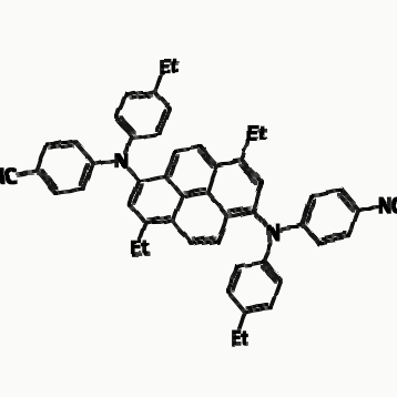 [C-]#[N+]c1ccc(N(c2ccc(CC)cc2)c2cc(CC)c3ccc4c(N(c5ccc(C#N)cc5)c5ccc(CC)cc5)cc(CC)c5ccc2c3c54)cc1